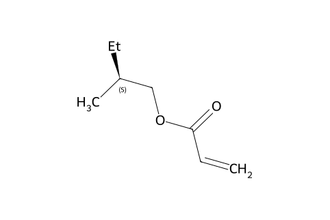 C=CC(=O)OC[C@@H](C)CC